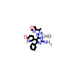 CC(c1cocn1)N(C)/N=c1/c(-c2ccc(=O)n(C)c2)c(-c2ccccc2)nc(N)n1C=O